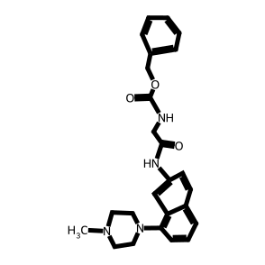 CN1CCN(c2cccc3ccc(NC(=O)CNC(=O)OCc4ccccc4)cc23)CC1